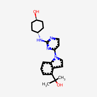 CC(C)(O)c1cccc2c1ccn2-c1ccnc(N[C@H]2CC[C@H](O)CC2)n1